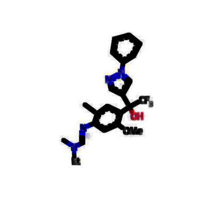 CCN(C)/C=N/c1cc(OC)c(C(O)(c2cnn(-c3ccccc3)c2)C(F)(F)F)cc1C